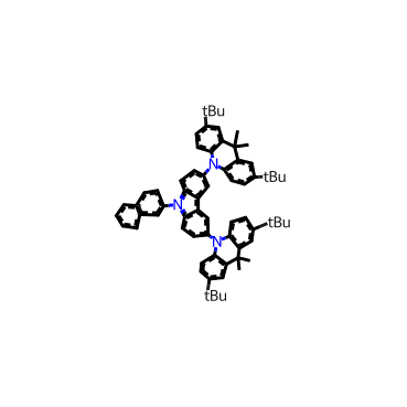 CC(C)(C)c1ccc2c(c1)C(C)(C)c1cc(C(C)(C)C)ccc1N2c1ccc2c(c1)c1cc(N3c4ccc(C(C)(C)C)cc4C(C)(C)c4cc(C(C)(C)C)ccc43)ccc1n2-c1ccc2ccccc2c1